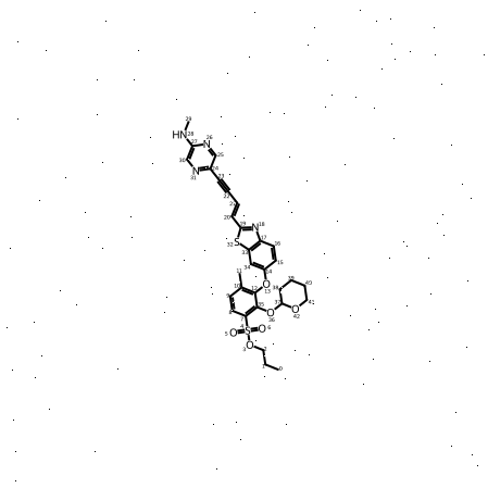 CCCOS(=O)(=O)c1ccc(C)c(Oc2ccc3nc(/C=C/C#Cc4cnc(NC)cn4)sc3c2)c1OC1CCCCO1